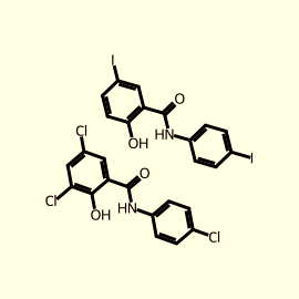 O=C(Nc1ccc(Cl)cc1)c1cc(Cl)cc(Cl)c1O.O=C(Nc1ccc(I)cc1)c1cc(I)ccc1O